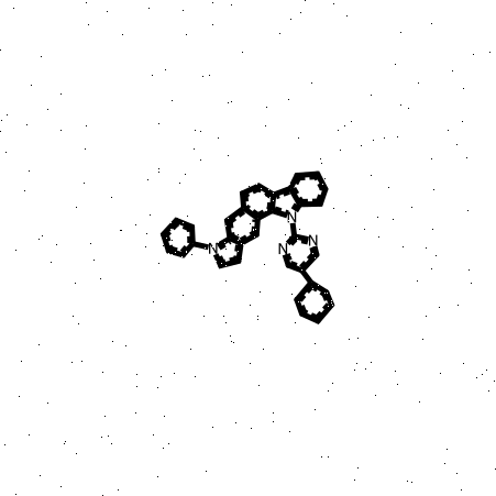 c1ccc(-c2cnc(-n3c4ccccc4c4ccc5cc6c(ccn6-c6ccccc6)cc5c43)nc2)cc1